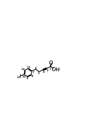 O=C(O)C#CCCc1ccc(I)cc1